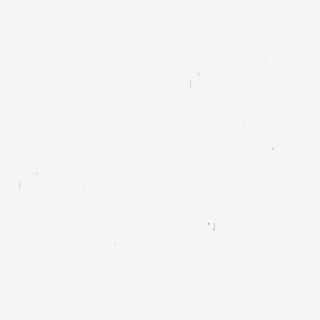 [2H]n1c2ccc(C(C)(C)C)cc2c2cc(C(C)(C)C)ccc21